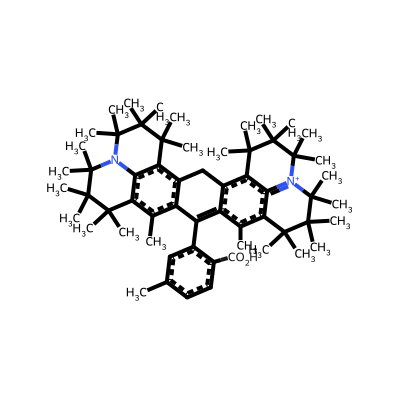 Cc1ccc(C(=O)O)c(C2=c3c(C)c4c5c(c3Cc3c2c(C)c2c6c3C(C)(C)C(C)(C)C(C)(C)N6C(C)(C)C(C)(C)C2(C)C)C(C)(C)C(C)(C)C(C)(C)[N+]=5C(C)(C)C(C)(C)C4(C)C)c1